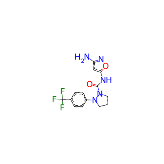 Nc1cc(NC(=O)N2CCCN2c2ccc(C(F)(F)F)cc2)on1